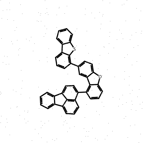 c1ccc2c(c1)-c1cccc3c(-c4cccc5oc6ccc(-c7cccc8c7sc7ccccc78)cc6c45)ccc-2c13